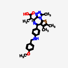 COc1ccc(CNc2ccc(C3=N[C@@H](C(C)C(=O)O)c4nnc(C)n4-c4sc(C)c(C)c43)cc2)cc1